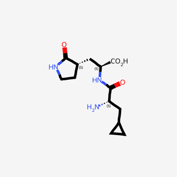 N[C@@H](CC1CC1)C(=O)N[C@@H](C[C@@H]1CCNC1=O)C(=O)O